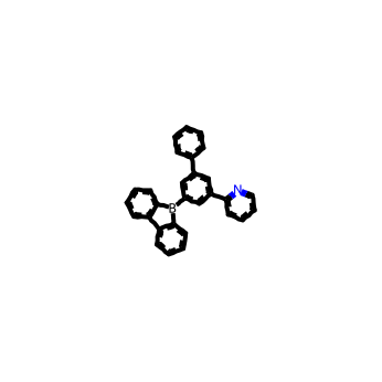 c1ccc(-c2cc(B3c4ccccc4-c4ccccc43)cc(-c3ccccn3)c2)cc1